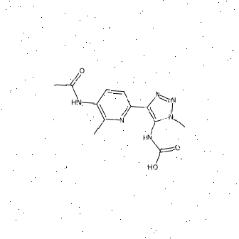 CC(=O)Nc1ccc(-c2nnn(C)c2NC(=O)O)nc1C